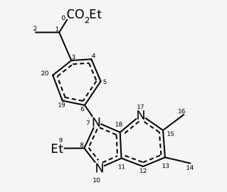 CCOC(=O)C(C)c1ccc(-n2c(CC)nc3cc(C)c(C)nc32)cc1